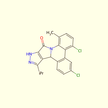 Cc1ccc(Cl)c2c1N1C(=O)c3[nH]nc(C(C)C)c3C1c1ccc(Cl)cc1-2